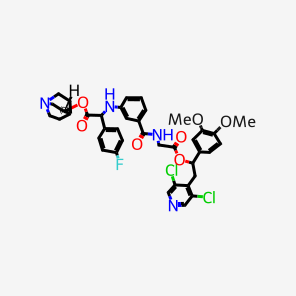 COc1ccc(C(Cc2c(Cl)cncc2Cl)OC(=O)CNC(=O)c2cccc(NC(C(=O)O[C@H]3CN4CCC3CC4)c3ccc(F)cc3)c2)cc1OC